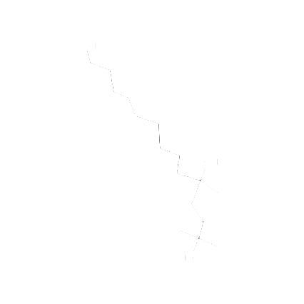 CC(C)(O)CCC(C)(O)CCCCCCCCCO